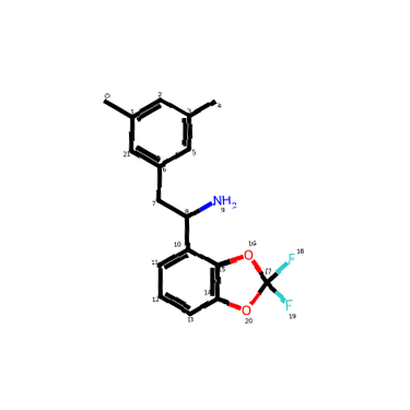 Cc1cc(C)cc(CC(N)c2cccc3c2OC(F)(F)O3)c1